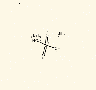 O=S(=O)(O)O.[BiH3].[BiH3]